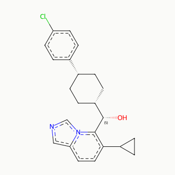 O[C@H](c1c(C2CC2)ccc2cncn12)[C@H]1CC[C@@H](c2ccc(Cl)cc2)CC1